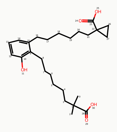 CC(C)(CCCCCCc1c(O)cccc1CCCCCCC1(C(=O)O)CC1)C(=O)O